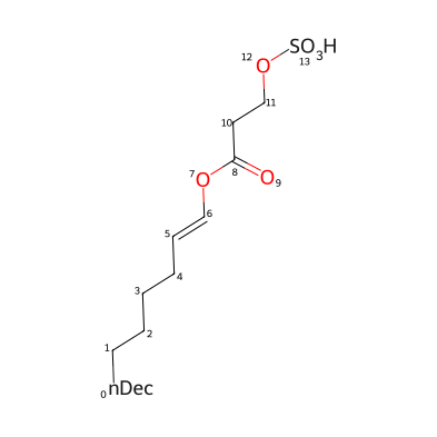 CCCCCCCCCCCCCCC=COC(=O)CCOS(=O)(=O)O